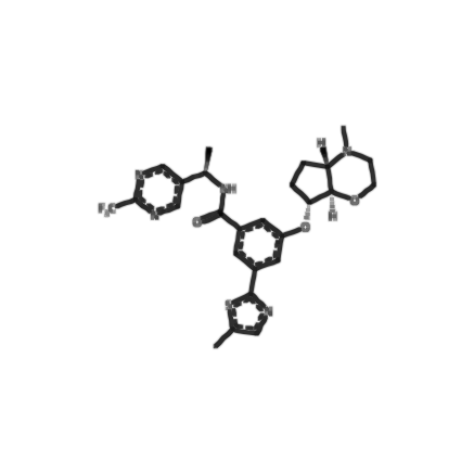 Cc1cnc(-c2cc(O[C@@H]3CC[C@H]4[C@H]3OCCN4C)cc(C(=O)N[C@H](C)c3cnc(C(F)(F)F)nc3)c2)s1